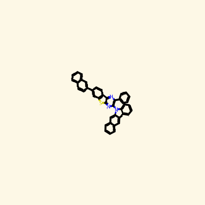 c1ccc(-c2nc3c(nc2-n2c4ccccc4c4cc5ccccc5cc42)sc2cc(-c4ccc5ccccc5c4)ccc23)cc1